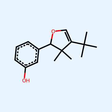 CC(C)(C)C1=COC(c2cccc(O)c2)C1(C)C